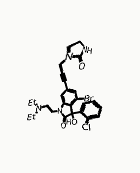 CCN(CC)CCN1C(=O)C(O)(c2ccccc2Cl)c2c(Br)cc(C#CCN3CCNC3=O)cc21